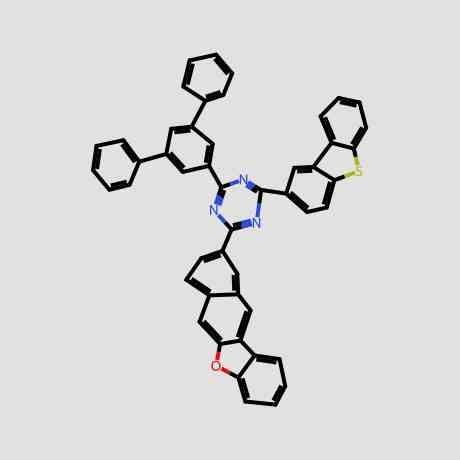 c1ccc(-c2cc(-c3ccccc3)cc(-c3nc(-c4ccc5cc6oc7ccccc7c6cc5c4)nc(-c4ccc5sc6ccccc6c5c4)n3)c2)cc1